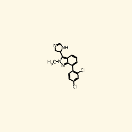 Cn1nc2c(-c3ccc(Cl)cc3Cl)cccc2c1C1CN=CN1